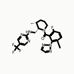 Cc1ccc(F)c(C(=O)N2CCC[C@@H](C)[C@H]2CNc2ncc(C(F)(F)F)cn2)c1-n1nccn1